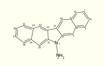 Nn1c2cc3ccccc3cc2c2cc3ccccc3cc21